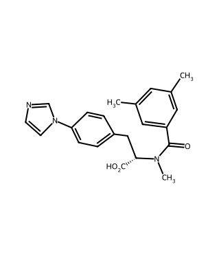 Cc1cc(C)cc(C(=O)N(C)[C@@H](Cc2ccc(-n3ccnc3)cc2)C(=O)O)c1